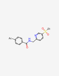 CCS(=O)(=O)c1ccc(CNC(=O)c2ccc(C(C)=O)cc2)nc1